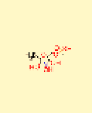 BC1OC(COP(C)(=O)O)C(O)N(O)C1O